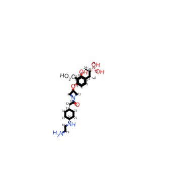 C[C@H](c1ccc(OC2CN(C(=O)C[C@H]3CC[C@@H](NCCN)CC3)C2)c(C(=O)O)c1O)[C@@H](C)B(O)O